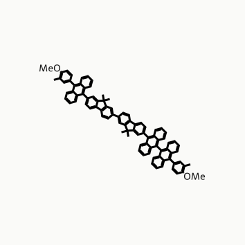 COc1ccc(-c2c3ccccc3c(-c3ccc4c(c3)C(C)(C)c3cc(-c5ccc6c(c5)C(C)(C)c5cc(-c7c8ccccc8c(-c8c9ccccc9c(-c9ccc(OC)c(C)c9)c9ccccc89)c8ccccc78)ccc5-6)ccc3-4)c3ccccc23)cc1C